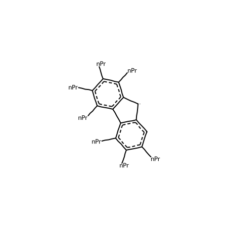 CCCc1cc2c(c(CCC)c1CCC)-c1c(c(CCC)c(CCC)c(CCC)c1CCC)[CH]2